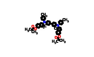 C=C(C)C(=O)Oc1ccc2cc(N(c3ccc(C)cc3)c3ccc(-c4ccc(N(c5ccc(C)cc5)c5ccc6cc(OC(=O)C(=C)C)ccc6c5)c(C)c4)cc3C)ccc2c1